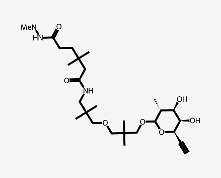 C#C[C@H]1OC(OCC(C)(C)COCC(C)(C)CNC(=O)CC(C)(C)CCC(=O)NNC)[C@H](C)[C@@H](O)[C@H]1O